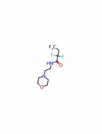 O=C(NCCN1CCOCC1)C(F)(F)CC(F)(F)F